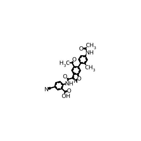 CC(=O)Nc1ccc(-c2cc3onc(C(=O)Nc4ccc(C#N)cc4C(=O)O)c3cc2C(C)=O)c(C)c1